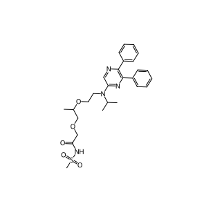 CC(COCC(=O)NS(C)(=O)=O)OCCN(c1cnc(-c2ccccc2)c(-c2ccccc2)n1)C(C)C